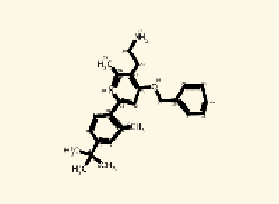 Cc1cc(C(C)(C)C)ccc1-c1cc(OCc2ccccc2)c(CCN)c(C)n1